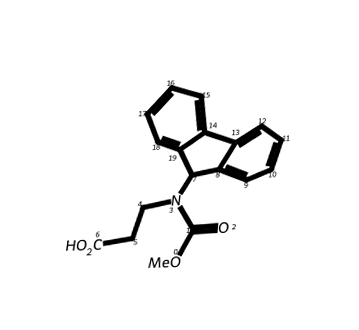 COC(=O)N(CCC(=O)O)C1c2ccccc2-c2ccccc21